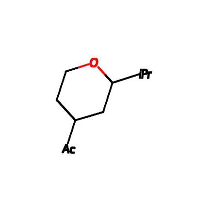 CC(=O)C1CCOC(C(C)C)C1